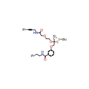 CC(C)C#CCNC(=O)COCCOC(C)(COc1cccc(C(=O)NCCC(C)C)c1)SSC(C)(C)C